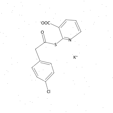 O=C(Cc1ccc(Cl)cc1)Sc1ncccc1C(=O)[O-].[K+]